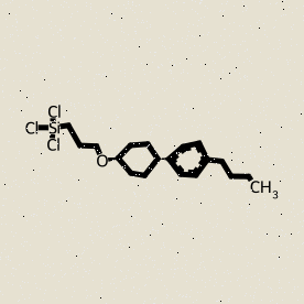 CCCCc1ccc([C@H]2CC[C@H](OCCC[Si](Cl)(Cl)Cl)CC2)cc1